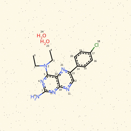 CCN(CC)c1nc(N)nc2ncc(-c3ccc(Cl)cc3)nc12.O.O